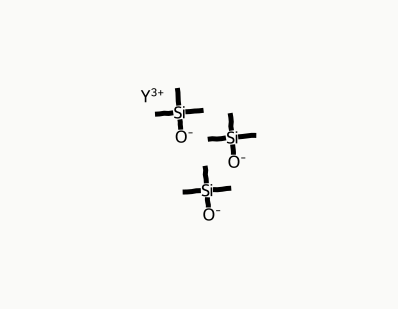 C[Si](C)(C)[O-].C[Si](C)(C)[O-].C[Si](C)(C)[O-].[Y+3]